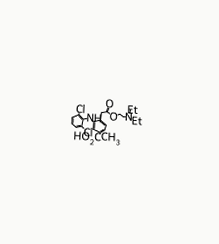 CC(=O)O.CCN(CC)CCOC(=O)Cc1ccccc1Nc1c(Cl)cccc1Cl